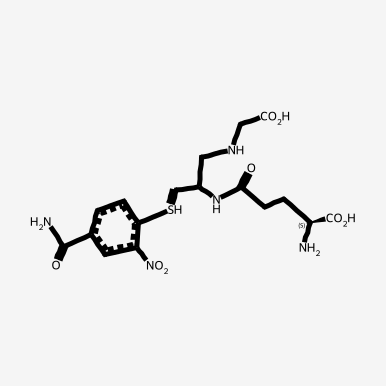 NC(=O)c1ccc([SH]=CC(CNCC(=O)O)NC(=O)CC[C@H](N)C(=O)O)c([N+](=O)[O-])c1